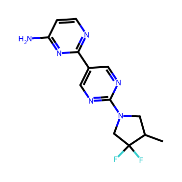 CC1CN(c2ncc(-c3nccc(N)n3)cn2)CC1(F)F